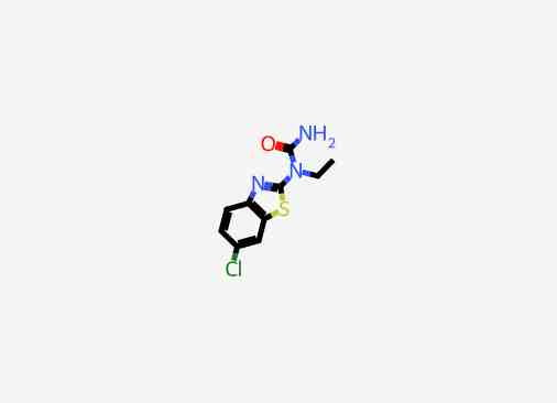 CCN(C(N)=O)c1nc2ccc(Cl)cc2s1